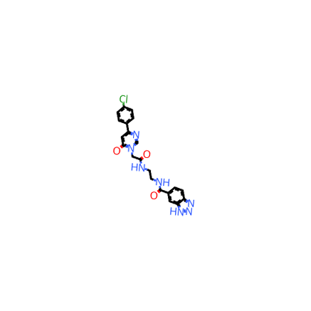 O=C(Cn1cnc(-c2ccc(Cl)cc2)cc1=O)NCCNC(=O)c1ccc2nn[nH]c2c1